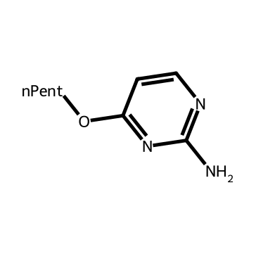 CCCCCOc1ccnc(N)n1